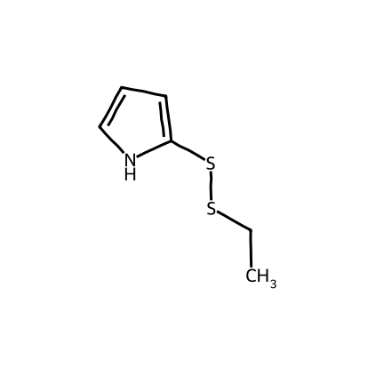 CCSSc1ccc[nH]1